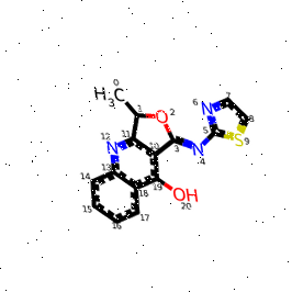 CC1OC(=Nc2nccs2)c2c1nc1ccccc1c2O